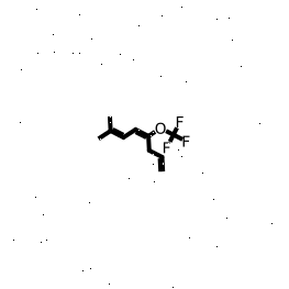 C=CC/C(=C\C=C(C)C)OC(F)(F)F